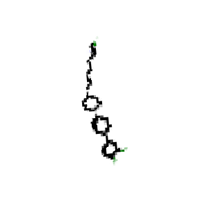 F/C=C/CCCCC[C@H]1CC[C@H](c2ccc(-c3ccc(F)c(F)c3)cc2)CC1